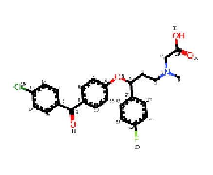 CN(CCC(Oc1ccc(C(=O)c2ccc(Cl)cc2)cc1)c1ccc(F)cc1)CC(=O)O